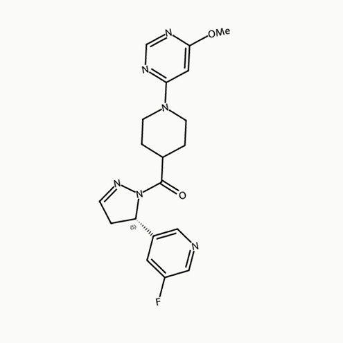 COc1cc(N2CCC(C(=O)N3N=CC[C@H]3c3cncc(F)c3)CC2)ncn1